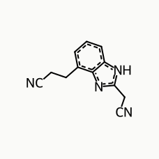 N#CCCc1cccc2[nH]c(CC#N)nc12